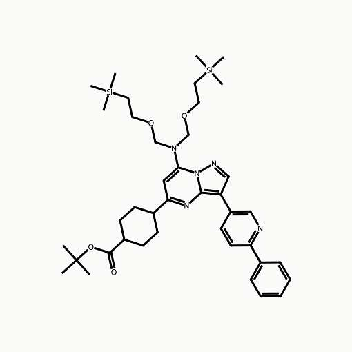 CC(C)(C)OC(=O)C1CCC(c2cc(N(COCC[Si](C)(C)C)COCC[Si](C)(C)C)n3ncc(-c4ccc(-c5ccccc5)nc4)c3n2)CC1